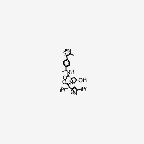 Cc1ncsc1-c1ccc([C@H](C)NC(=O)[C@@H]2C[C@@H](O)CN2C(=O)[C@@H](c2cc(C(C)C)no2)C(C)C)cc1